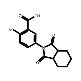 O=C(O)c1cc(N2C(=O)C3CCCCC3C2=O)ccc1Br